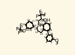 COc1cccc(-c2cccc3c2CC[C@H](c2cccc(OC(F)(F)F)c2)N3C[C@H](O)C(F)(F)F)c1